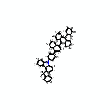 CC1(C)c2ccccc2-c2ccc3c(c21)c1ccccc1n3-c1ccc(-c2ccc(-c3c4ccccc4c(-c4ccccc4)c4ccccc34)c3ccccc23)cc1